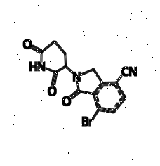 N#Cc1ccc(Br)c2c1CN(C1CCC(=O)NC1=O)C2=O